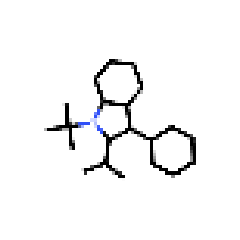 CC(C)C1C(C2CCCCC2)C2CCCCC2N1C(C)(C)C